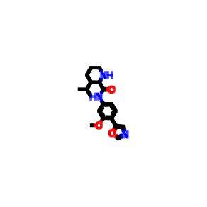 COc1cc(NC(=O)C2NCCCC2C(C)C)ccc1-c1cnco1